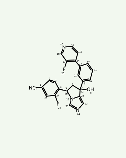 N#Cc1ccc([C@H]2C[C@](O)(c3cccc(-c4ccncc4F)c3)c3cncn32)c(F)c1